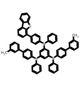 Cc1cccc(-c2ccc(N(c3ccccc3)c3cc(N(c4ccccc4)c4ccc(-c5cccc(C)c5)cc4)cc(N(c4ccccc4)c4ccc(-c5cccc6c5sc5ccccc56)cc4)c3)cc2)c1